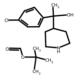 CC(C)(C)OC=O.CC(O)(c1ccc(Cl)cc1)C1CCNCC1